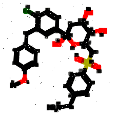 CCOc1ccc(Cc2cc([C@]3(O)C[C@@H](O)[C@@H](O)[C@@H](CS(=O)(=O)c4ccc(CC(=O)O)cc4)O3)ccc2Cl)cc1